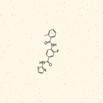 Cc1ccccc1C(=O)Nc1ccc(C(=O)Nc2nccs2)cc1F